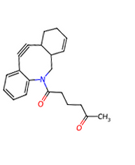 CC(=O)CCCC(=O)N1CC2C=CCCC2C#Cc2ccccc21